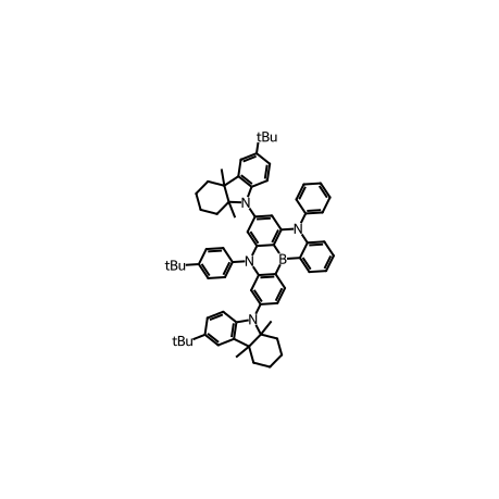 CC(C)(C)c1ccc(N2c3cc(N4c5ccc(C(C)(C)C)cc5C5(C)CCCCC45C)ccc3B3c4ccccc4N(c4ccccc4)c4cc(N5c6ccc(C(C)(C)C)cc6C6(C)CCCCC56C)cc2c43)cc1